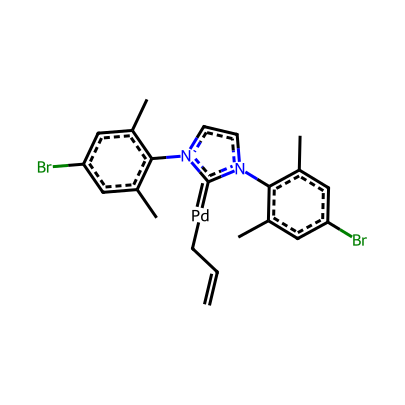 C=C[CH2][Pd]=[c]1n(-c2c(C)cc(Br)cc2C)ccn1-c1c(C)cc(Br)cc1C